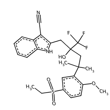 CCS(=O)(=O)c1ccc(OC)c(C(C)(C)CC(O)(Cc2[nH]c3ccccc3c2C#N)C(F)(F)F)c1